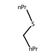 [CH2]CCCSCCC